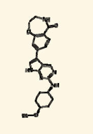 CCO[C@H]1CC[C@@H](Nc2ncc3c(-c4ccc5c(c4)OCCNC5=O)c[nH]c3n2)CC1